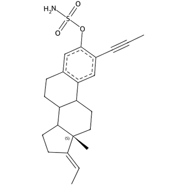 CC#Cc1cc2c(cc1OS(N)(=O)=O)CCC1C2CC[C@]2(C)C(=CC)CCC12